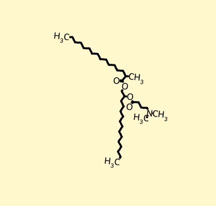 CCCCCCCCCCCCCCC(C)C(=O)OCC(CCCCCCCCCCCCC)OC(=O)CCCN(C)C